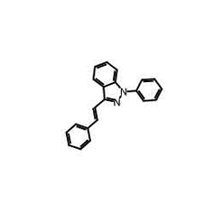 C(=Cc1nn(-c2ccccc2)c2ccccc12)c1ccccc1